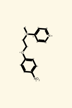 CN(CCOc1ccc([N+](=O)[O-])cc1)c1ccncc1